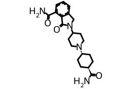 NC(=O)c1cccc2c1C(=O)N(C1CCN([C@H]3CC[C@H](C(N)=O)CC3)CC1)C2